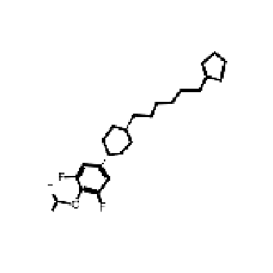 Fc1cc([C@H]2CC[C@H](CCCCCCC3CCCC3)CC2)cc(F)c1OC(F)F